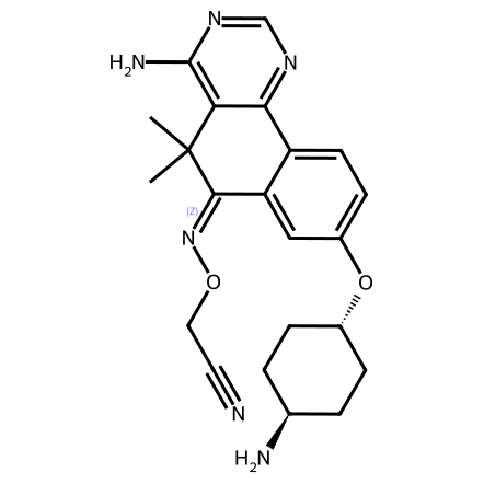 CC1(C)/C(=N/OCC#N)c2cc(O[C@H]3CC[C@H](N)CC3)ccc2-c2ncnc(N)c21